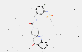 CC(C)S(=O)(=O)Nc1cc(CNC(=O)N2CCC3(CC2)CC(=O)c2ccccc2N3F)ccc1F